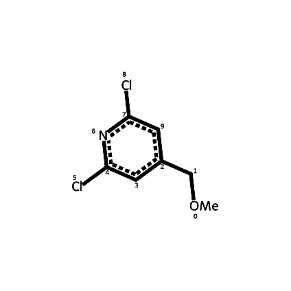 [CH2]OCc1cc(Cl)nc(Cl)c1